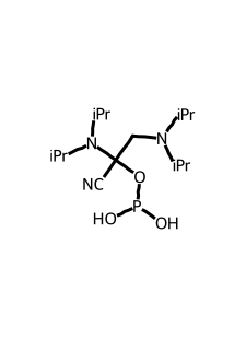 CC(C)N(CC(C#N)(OP(O)O)N(C(C)C)C(C)C)C(C)C